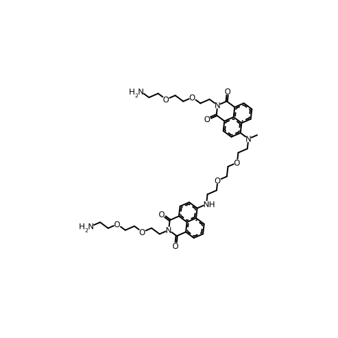 CN(CCOCCOCCNc1ccc2c3c(cccc13)C(=O)N(CCOCCOCCN)C2=O)c1ccc2c3c(cccc13)C(=O)N(CCOCCOCCN)C2=O